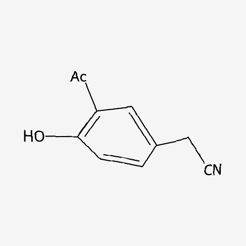 CC(=O)c1cc(CC#N)ccc1O